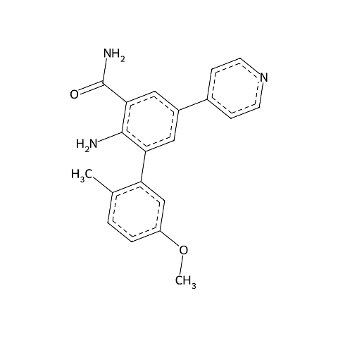 COc1ccc(C)c(-c2cc(-c3ccncc3)cc(C(N)=O)c2N)c1